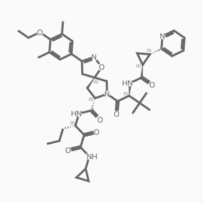 CCC[C@H](NC(=O)[C@@H]1C[C@]2(CC(c3cc(C)c(OCC)c(C)c3)=NO2)CN1C(=O)[C@@H](NC(=O)[C@H]1C[C@@H]1c1ccccn1)C(C)(C)C)C(=O)C(=O)NC1CC1